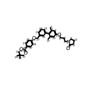 Cc1cc(OCCCN2CCCC2=O)cc(C)c1-c1cccc(COc2ccc(B3OCC(C)(C)CO3)cc2)c1